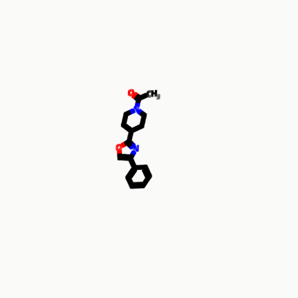 CC(=O)N1CCC(c2nc(-c3ccccc3)co2)CC1